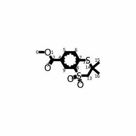 COC(=O)c1ccc2c(c1)S(=O)(=O)CC(C)(C)S2